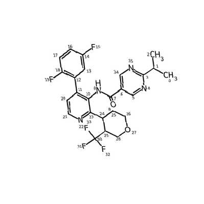 CC(C)c1ncc(C(=O)Nc2c(-c3cc(F)ccc3F)ccnc2C2CCOCC2C(F)(F)F)cn1